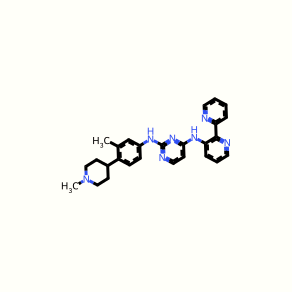 Cc1cc(Nc2nccc(Nc3cccnc3-c3ccccn3)n2)ccc1C1CCN(C)CC1